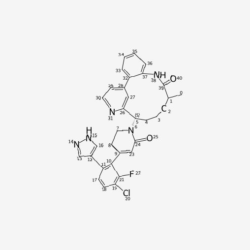 CC1CCC[C@H](N2CCC(c3c(-c4cn[nH]c4)ccc(Cl)c3F)=CC2=O)c2cc(ccn2)-c2ccccc2NC1=O